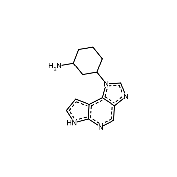 NC1CCCC(n2cnc3cnc4[nH]ccc4c32)C1